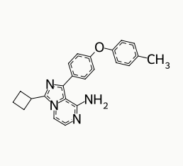 Cc1ccc(Oc2ccc(-c3nc(C4CCC4)n4ccnc(N)c34)cc2)cc1